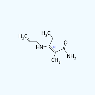 C=CCN/C(CC)=C(\C)C(N)=O